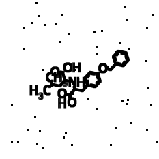 CC(C)CC(NC(Cc1ccc(OCc2ccccc2)cc1)C(=O)O)C(=O)O